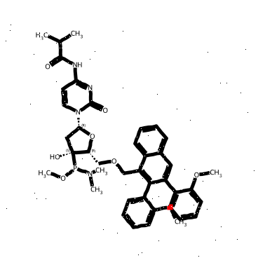 COc1ccccc1-c1cc2ccccc2c(COC[C@H]2O[C@@H](n3ccc(NC(=O)C(C)C)nc3=O)C[C@]2(O)P(OC)N(C)C)c1-c1ccccc1OC